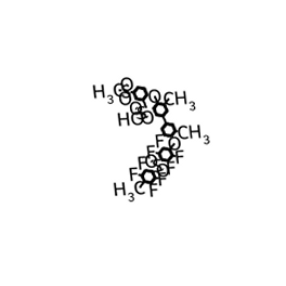 Cc1cc(-c2ccc(Oc3c(F)c(F)c(S(=O)(=O)c4c(F)c(F)c(C)c(F)c4F)c(F)c3F)c(C)c2)ccc1Oc1ccc(S(C)(=O)=O)cc1CS(=O)(=O)O